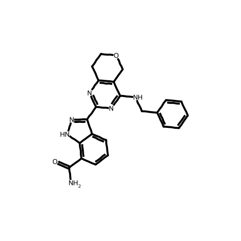 NC(=O)c1cccc2c(-c3nc4c(c(NCc5ccccc5)n3)COCC4)n[nH]c12